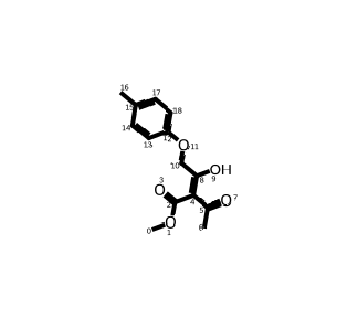 COC(=O)/C(C(C)=O)=C(/O)COc1ccc(C)cc1